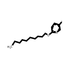 CCCCCCCCCCOc1ccc(I)cn1